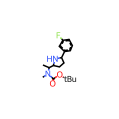 CC(C1CCC(c2cccc(F)c2)N1)N(C)C(=O)OC(C)(C)C